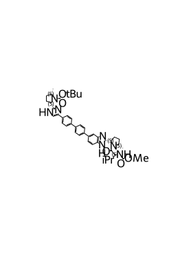 COC(=O)N[C@H](C(=O)N1[C@@H](C)CC[C@H]1c1nc2cc(-c3ccc(-c4ccc(-c5c[nH]c([C@@H]6CC[C@H](C)N6C(=O)OC(C)(C)C)n5)cc4)cc3)ccc2[nH]1)C(C)C